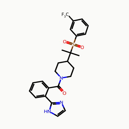 CC(C)(C1CCN(C(=O)c2ccccc2-c2ncc[nH]2)CC1)S(=O)(=O)c1cccc(C(F)(F)F)c1